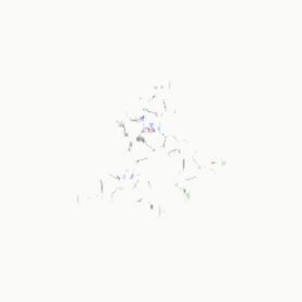 Cc1ccc2c(c1)c1cc(C)ccc1n2-c1ccc(C#N)c(-c2cc(-c3cc(C(F)(F)F)cc(C(F)(F)F)c3)ccc2-n2c3ccc(C)cc3c3cc(C)ccc32)c1